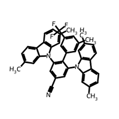 Cc1cc(-c2c(-n3c4cc(C)ccc4c4ccc(C)cc43)cc(C#N)cc2-n2c3cc(C)ccc3c3ccc(C)cc32)cc(C(F)(F)F)c1